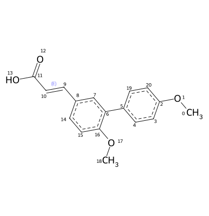 COc1ccc(-c2cc(/C=C/C(=O)O)ccc2OC)cc1